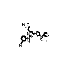 CCCc1cc(N2CC[C@H](N(C)c3ccsc3)C2)nc(Nc2cccc(C#N)c2)n1